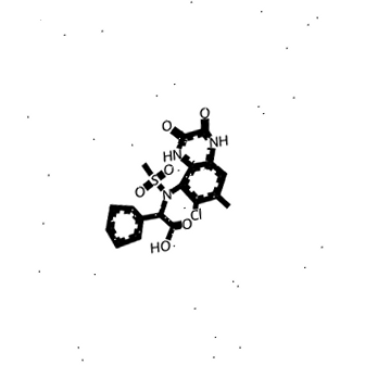 Cc1cc2[nH]c(=O)c(=O)[nH]c2c(N(C(C(=O)O)c2ccccc2)S(C)(=O)=O)c1Cl